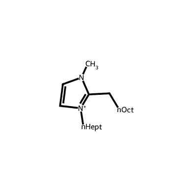 CCCCCCCCCc1n(C)cc[n+]1CCCCCCC